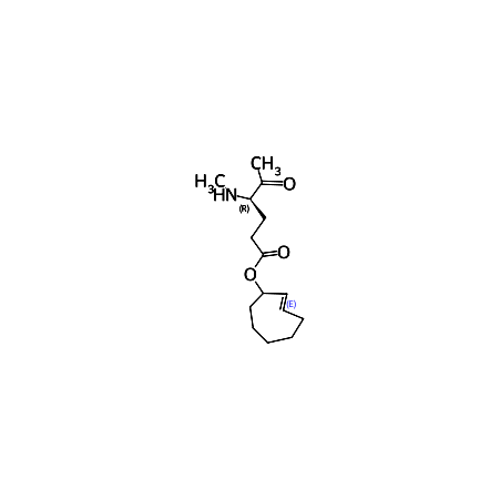 CN[C@H](CCC(=O)OC1/C=C/CCCCC1)C(C)=O